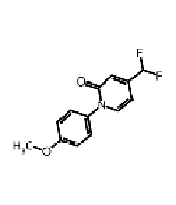 COc1ccc(-n2ccc(C(F)F)cc2=O)cc1